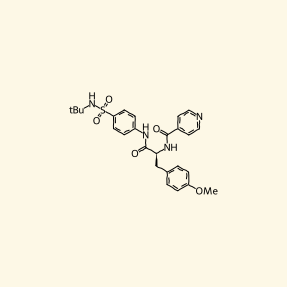 COc1ccc(C[C@H](NC(=O)c2ccncc2)C(=O)Nc2ccc(S(=O)(=O)NC(C)(C)C)cc2)cc1